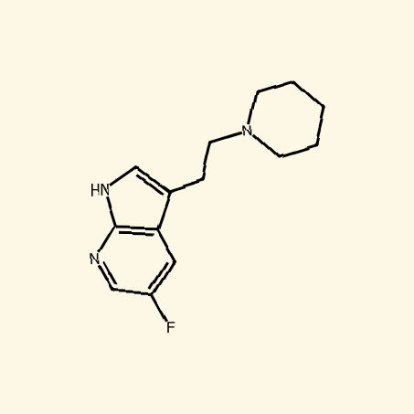 Fc1cnc2[nH]cc(CCN3CCCCC3)c2c1